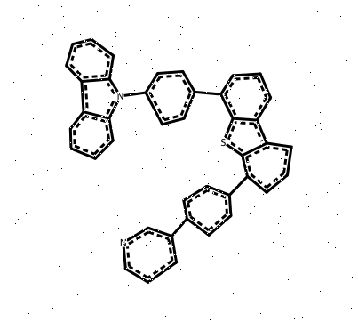 c1cncc(-c2ccc(-c3cccc4c3sc3c(-c5ccc(-n6c7ccccc7c7ccccc76)cc5)cccc34)cc2)c1